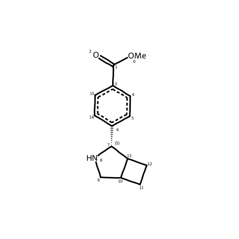 COC(=O)c1ccc([C@H]2NCC3CCC32)cc1